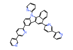 c1ccc(-n2c3ccc(-c4ccc(-c5cccnc5)cn4)cc3c3cc(-c4ccc(-c5cccnc5)cn4)c4ccccc4c32)nc1